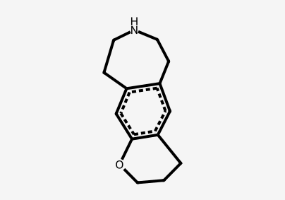 c1c2c(cc3c1CCCO3)CCNCC2